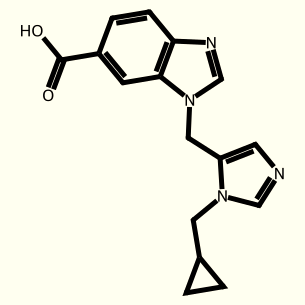 O=C(O)c1ccc2ncn(Cc3cncn3CC3CC3)c2c1